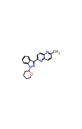 Cc1ccc2nc(-c3nn(C4CCCCO4)c4ccccc34)ccc2n1